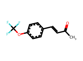 CC(=O)C=Cc1ccc(OC(F)(F)F)cc1